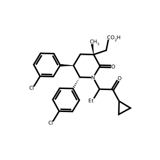 CCC(C(=O)C1CC1)N1C(=O)[C@@](C)(CC(=O)O)C[C@H](c2cccc(Cl)c2)[C@H]1c1ccc(Cl)cc1